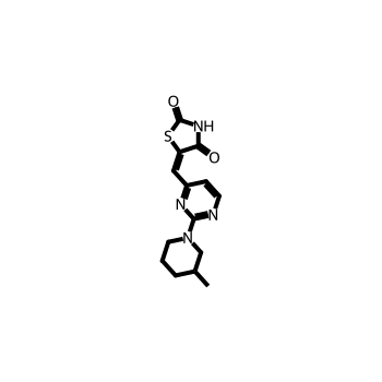 CC1CCCN(c2nccc(/C=C3/SC(=O)NC3=O)n2)C1